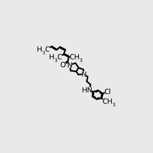 C/C=C/C=C\C(C)=C(/C)C(=O)N1CC2CN(CCCNc3ccc(C)c(Cl)c3)CC2C1